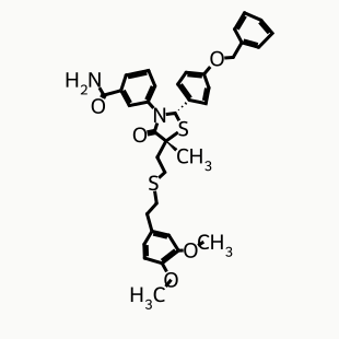 COc1ccc(CCSCC[C@@]2(C)S[C@@H](c3ccc(OCc4ccccc4)cc3)N(c3cccc(C(N)=O)c3)C2=O)cc1OC